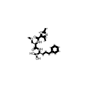 COC[C@@H](NC(=O)c1oc(C)nc1C)C(=O)N[C@@H](CCCc1ccccc1)B(O)O